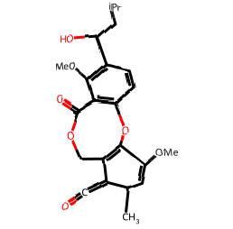 COC1=CC(C)C(=C=O)C2=C1Oc1ccc(C(O)CC(C)C)c(OC)c1C(=O)OC2